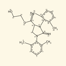 Cc1cccc(C)c1N1CC(C(=O)OCCO)N(c2c(C)cccc2C)C1=N